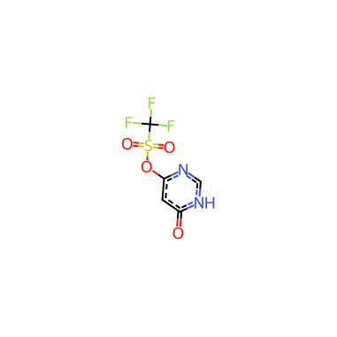 O=c1cc(OS(=O)(=O)C(F)(F)F)nc[nH]1